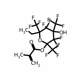 C=C(C)C(=O)OC1(C(F)(F)F)OC(CC)(C(F)(F)F)C(F)(F)C(O)(C(F)(F)F)C1(F)F